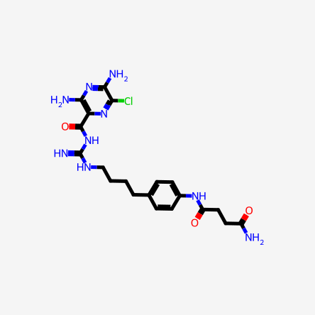 N=C(NCCCCc1ccc(NC(=O)CCC(N)=O)cc1)NC(=O)c1nc(Cl)c(N)nc1N